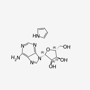 Nc1ncnc2c1ncn2[C@@H]1O[C@H](CO)[C@@H](O)[C@H]1O.c1cc[nH]c1